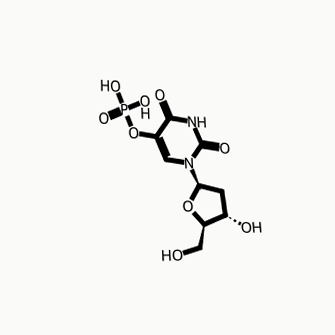 O=c1[nH]c(=O)n([C@H]2C[C@H](O)[C@@H](CO)O2)cc1OP(=O)(O)O